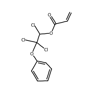 C=CC(=O)OC(Cl)C(Cl)(Cl)Oc1ccccc1